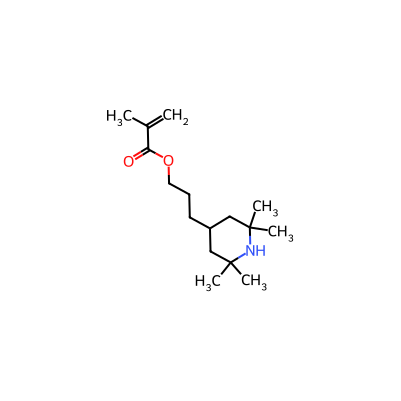 C=C(C)C(=O)OCCCC1CC(C)(C)NC(C)(C)C1